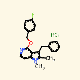 Cc1c(Cc2ccccc2)c2c(OCc3ccc(F)cc3)nccc2n1C.Cl